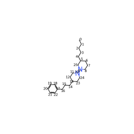 CCCCCC1CCCN(N2CCC(CCCc3ccccc3)CC2)C1